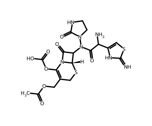 CC(=O)OCC1=C(OC(=O)O)N2C(=O)C(N(C(=O)C(N)c3csc(=N)[nH]3)N3CCNC3=O)[C@@H]2SC1